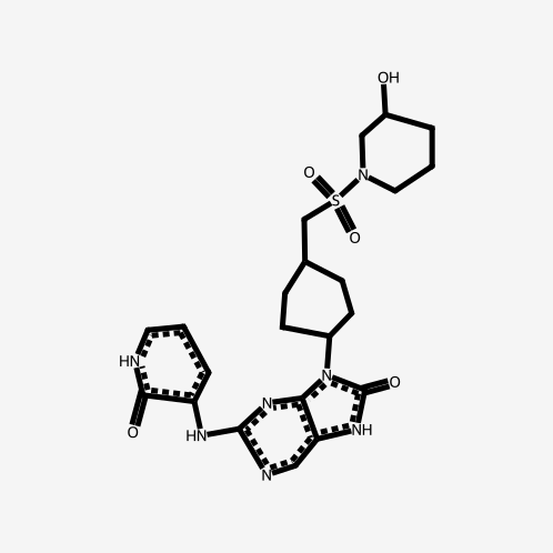 O=c1[nH]cccc1Nc1ncc2[nH]c(=O)n(C3CCC(CS(=O)(=O)N4CCCC(O)C4)CC3)c2n1